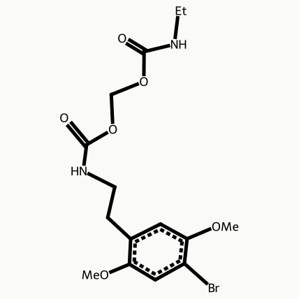 CCNC(=O)OCOC(=O)NCCc1cc(OC)c(Br)cc1OC